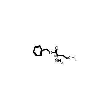 CCC[C@H](N)C(=O)OCc1ccccc1